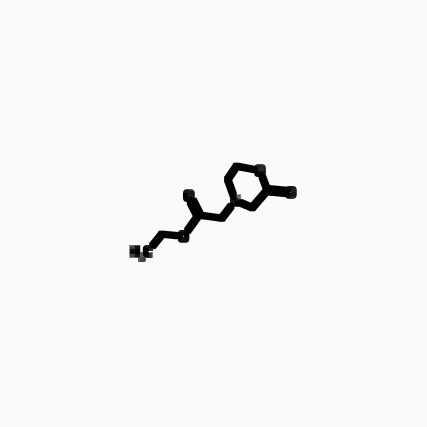 CCOC(=O)CN1CCOC(=O)C1